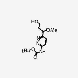 COC(CCO)c1ccc(NC(=O)OC(C)(C)C)nn1